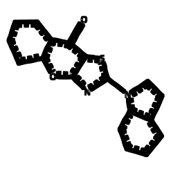 O=c1c2ccccc2oc2nc(-n3ccc4ccccc43)sc12